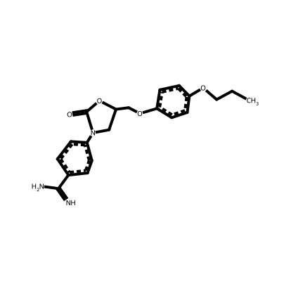 CCCOc1ccc(OCC2CN(c3ccc(C(=N)N)cc3)C(=O)O2)cc1